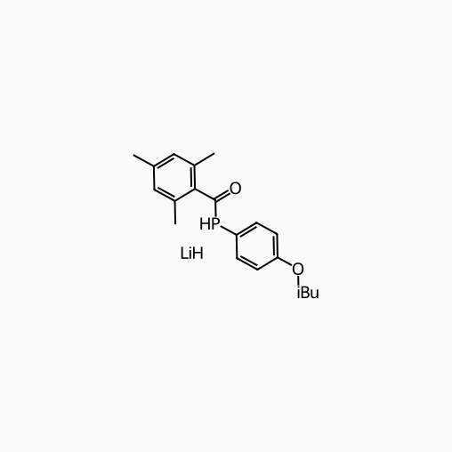 CCC(C)Oc1ccc(PC(=O)c2c(C)cc(C)cc2C)cc1.[LiH]